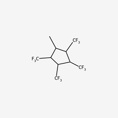 CC1C(C(F)(F)F)C(C(F)(F)F)C(C(F)(F)F)C1C(F)(F)F